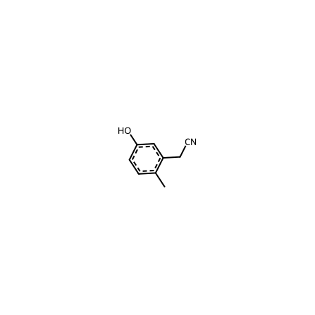 Cc1ccc(O)cc1CC#N